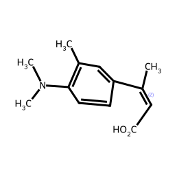 C/C(=C/C(=O)O)c1ccc(N(C)C)c(C)c1